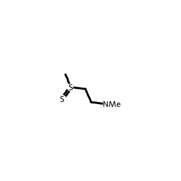 CNCCS(C)=S